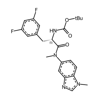 CN(C(=O)[C@H](Cc1cc(F)cc(F)c1)NC(=O)OC(C)(C)C)c1ccc2c(c1)ncn2C